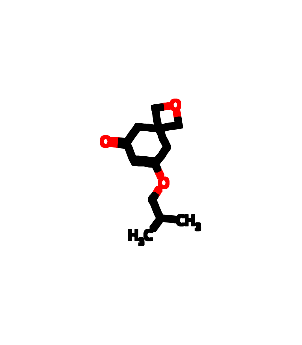 CC(C)COC1=CC(=O)CC2(COC2)C1